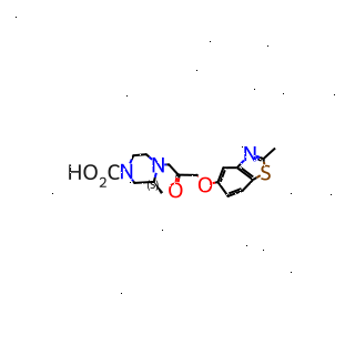 Cc1nc2cc(OCC(=O)CN3CCN(C(=O)O)C[C@@H]3C)ccc2s1